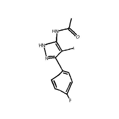 CC(=O)Nc1[nH]nc(-c2ccc(F)cc2)c1I